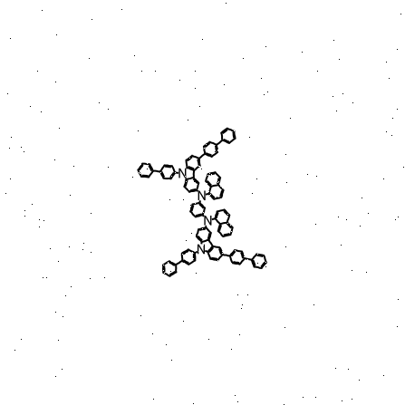 c1ccc(-c2ccc(-c3ccc4c(c3)c3cc(N(c5cccc(N(c6ccc7c(c6)c6cc(-c8ccc(-c9ccccc9)cc8)ccc6n7-c6ccc(-c7ccccc7)cc6)c6cccc7ccccc67)c5)c5cccc6ccccc56)ccc3n4-c3ccc(-c4ccccc4)cc3)cc2)cc1